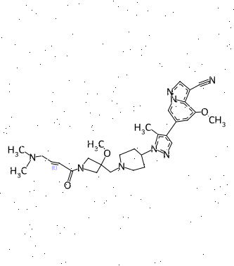 COc1cc(-c2cnn(C3CCN(CC4(OC)CN(C(=O)/C=C/CN(C)C)C4)CC3)c2C)cn2ncc(C#N)c12